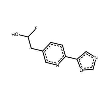 OC(F)[CH]c1ccc(-c2cnco2)nc1